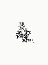 CC1(C)O[C@@H]2[C@H](O1)[C@@H](CN1CC(F)(F)C[C@H]1CCN1CCCC1)O[C@H]2c1ccc2c(N)ncnn12